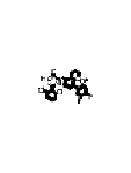 COc1cc(F)c(F)cc1-c1ccc(C[C@H](NC(=O)c2c(Cl)cccc2Cl)C(=O)O)c2c1OCCC2